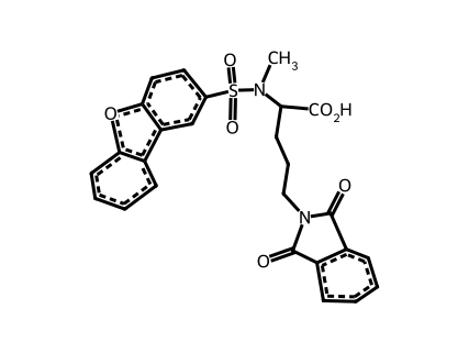 CN(C(CCCN1C(=O)c2ccccc2C1=O)C(=O)O)S(=O)(=O)c1ccc2oc3ccccc3c2c1